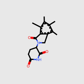 Cc1c(C)c(C)c2c(c1C)CN(C1CCC(=O)NC1=O)C2=O